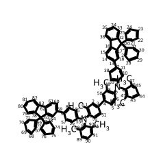 Cc1cc(-c2ccc(N(c3ccc(-c4ccc5c(c4)C(c4ccccc4)(c4ccccc4)c4ccccc4-5)cc3)c3c(C)cccc3C)c(C)c2)ccc1N(c1ccc(-c2ccc3c(c2)C(c2ccccc2)(c2ccccc2)c2ccccc2-3)cc1)c1c(C)cccc1C